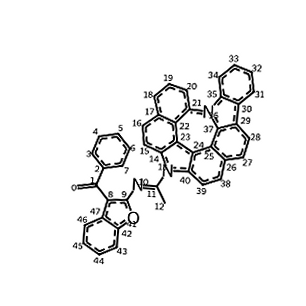 C=C(c1ccccc1)c1c(/N=C(\C)n2c3ccc4cccc5c4c3c3c4c(ccc6c7ccccc7n5c64)ccc32)oc2ccccc12